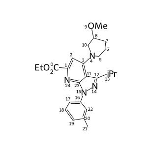 CCOC(=O)c1cc(N2CCCC(OC)C2)c2c(C(C)C)nn(-c3cccc(C)c3)c2n1